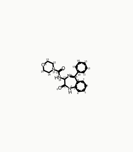 O=C1Nc2ccccc2C(c2ccccc2)=NC1NC(=O)N1CCOCC1